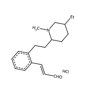 CCC1CCC(CCc2ccccc2C=CC=O)N(C)C1.Cl